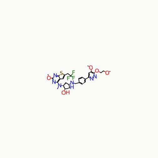 COCCOc1nnc(-c2ccc(CN[C@H]3C[C@@H](O)[C@@H](N(C)c4nc(OC)nc5sc(CC(F)(F)F)cc45)C3)cc2)cc1OC